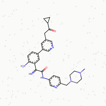 CN1CCN(Cc2ccc(NC(=O)C(=N)c3cc(-c4cncc(CC(=O)C5CC5)c4)ccc3N)cn2)CC1